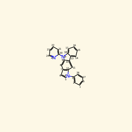 c1ccc(-n2ccc3cc4c(cc32)c2ccccc2n4-c2ccccn2)cc1